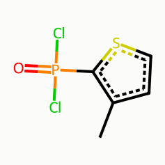 Cc1ccsc1P(=O)(Cl)Cl